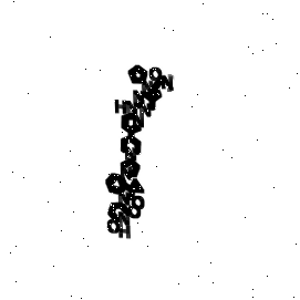 CN(C)C(=O)c1cc2cnc(Nc3ccc(C4CCN([C@@H]5CCN(c6cccc7c6C6(CC6)C(=O)N7C6CCC(=O)NC6=O)C5)CC4)cn3)nc2n1C1CCCC1